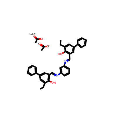 CC(=O)[O-].CC(=O)[O-].CCc1cc(-c2ccccc2)cc(C=Nc2cccc(N=Cc3cc(-c4ccccc4)cc(CC)c3O)c2)c1O.[Co+2]